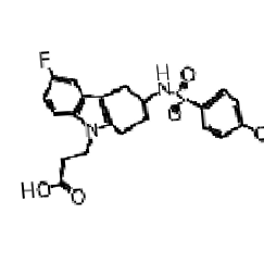 O=C(O)CCn1c2c(c3cc(F)ccc31)CC(NS(=O)(=O)c1ccc(Cl)cc1)CC2